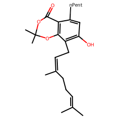 CCCCCc1cc(O)c(CC=C(C)CCC=C(C)C)c2c1C(=O)OC(C)(C)O2